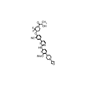 COc1nc(Nc2nccc(-c3ccc(O[C@@H]4CCN(C(=O)[C@H](C)O)CC4(F)F)c(C#N)c3)n2)ccc1N1CCN(C2COC2)CC1